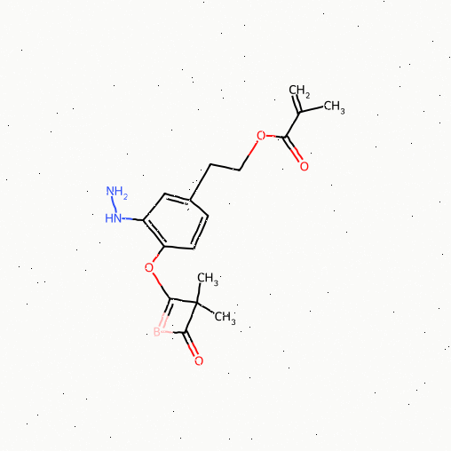 C=C(C)C(=O)OCCc1ccc(OC2=BC(=O)C2(C)C)c(NN)c1